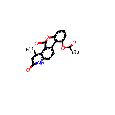 Cc1cc(=O)[nH]c2ccc3c4c(OC(=O)C(C)(C)C)cccc4oc(=O)c3c12